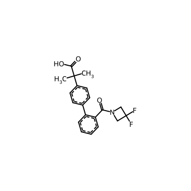 CC(C)(C(=O)O)c1ccc(-c2ccccc2C(=O)N2CC(F)(F)C2)cc1